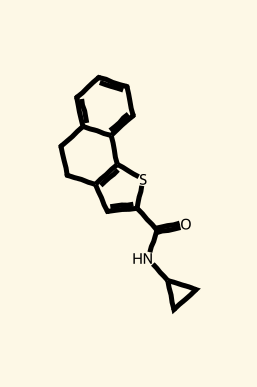 O=C(NC1CC1)c1cc2c(s1)-c1ccccc1CC2